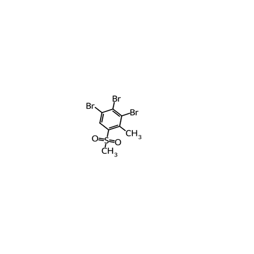 Cc1c(S(C)(=O)=O)cc(Br)c(Br)c1Br